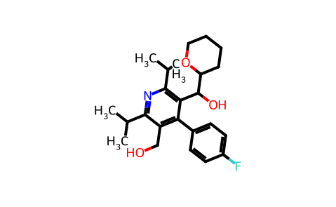 CC(C)c1nc(C(C)C)c(C(O)C2CCCCO2)c(-c2ccc(F)cc2)c1CO